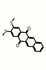 CSc1cc2c(cc1SC)C(=O)c1cc3ccccc3cc1C2=O